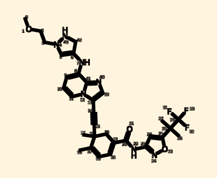 COCCN1C=C(Nc2cccn3c(C#CC4(C)CC(C(=O)Nc5cc(C(C)(C)C(F)(F)F)on5)=CC=C4C)cnc23)CN1